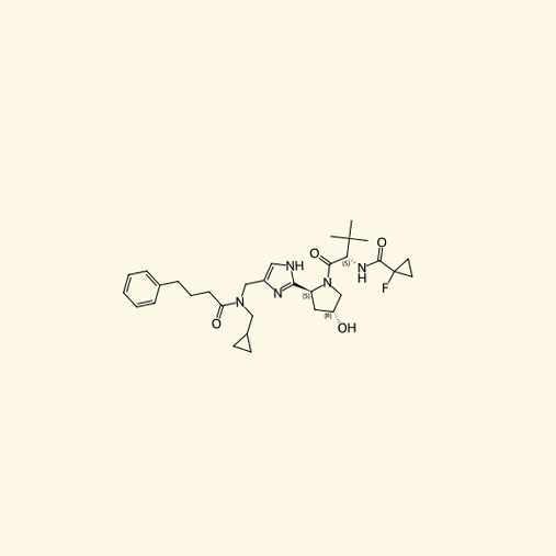 CC(C)(C)[C@H](NC(=O)C1(F)CC1)C(=O)N1C[C@H](O)C[C@H]1c1nc(CN(CC2CC2)C(=O)CCCc2ccccc2)c[nH]1